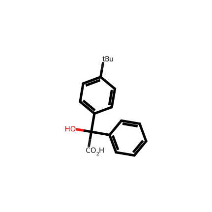 CC(C)(C)c1ccc(C(O)(C(=O)O)c2ccccc2)cc1